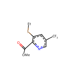 CCSc1cc(C(F)(F)F)cnc1C(=O)OC